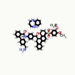 C1=CNc2ccccc2N=C1.COc1ccc(S(=O)(=O)C2=c3ccc4c(c3CCC2)C(C(=O)c2ccc(NC(=O)c3ccccc3-c3ccc(CN)cc3)cc2)C=c2ccccc2=4)cc1OC